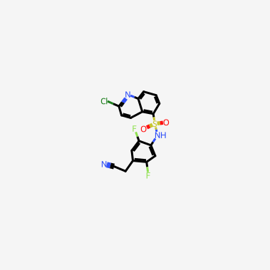 N#CCc1cc(F)c(NS(=O)(=O)c2cccc3nc(Cl)ccc23)cc1F